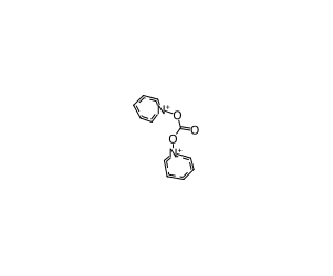 O=C(O[n+]1ccccc1)O[n+]1ccccc1